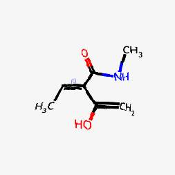 C=C(O)/C(=C\C)C(=O)NC